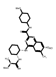 COC1CCC(NC(=O)c2nc(N[C@H]3CCCC[C@H]3NC(=N)N(C)OC)c3cc(C)ccc3n2)CC1.Cl.Cl